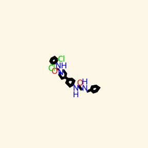 O=C(CNCc1ccccc1)Nc1ccc(C2CCN(C(=O)Nc3c(Cl)cccc3Cl)CC2)cc1